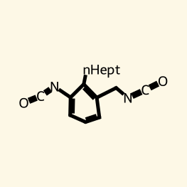 CCCCCCCc1c(CN=C=O)cccc1N=C=O